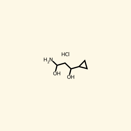 Cl.NC(O)CC(O)C1CC1